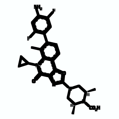 Cc1c(-c2cc(F)c(N)cc2F)ccc2c3oc(N4C[C@@H](C)N(C(=O)O)[C@@H](C)C4)nc3c(=O)n(C3CC3)c12